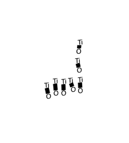 [O]=[Ti].[O]=[Ti].[O]=[Ti].[O]=[Ti].[O]=[Ti].[O]=[Ti].[O]=[Ti]